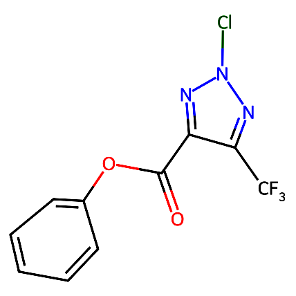 O=C(Oc1ccccc1)c1nn(Cl)nc1C(F)(F)F